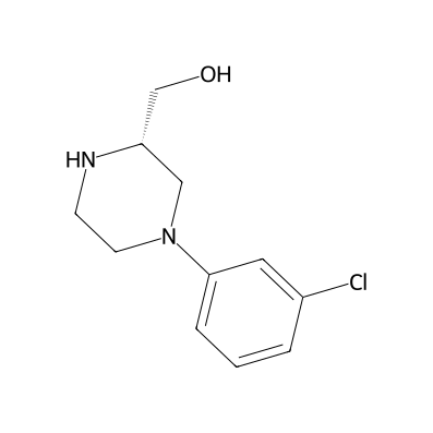 OC[C@@H]1CN(c2cccc(Cl)c2)CCN1